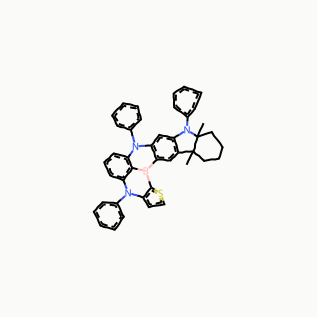 CC12CCCCC1(C)N(c1ccccc1)c1cc3c(cc12)B1c2sccc2N(c2ccccc2)c2cccc(c21)N3c1ccccc1